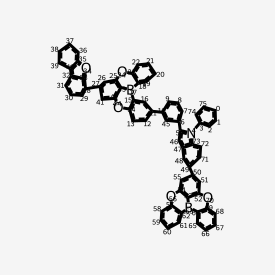 c1ccc(-n2c(-c3cccc(-c4ccc5c(c4)B4c6ccccc6Oc6cc(-c7cccc8c7oc7ccccc78)cc(c64)O5)c3)cc3cc(-c4cc5c6c(c4)Oc4ccccc4B6c4ccccc4O5)ccc32)cc1